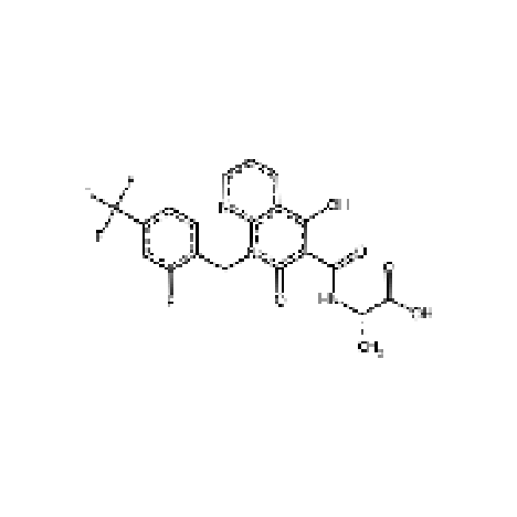 C[C@H](NC(=O)c1c(O)c2cccnc2n(Cc2ccc(C(F)(F)F)cc2F)c1=O)C(=O)O